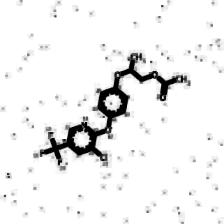 CC(=O)OCC(C)Oc1ccc(Oc2ncc(C(F)(F)F)cc2Cl)cc1